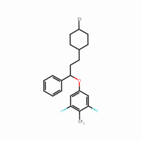 CCC1CCC(CCC(Oc2cc(F)c(C(F)(F)F)c(F)c2)c2ccccc2)CC1